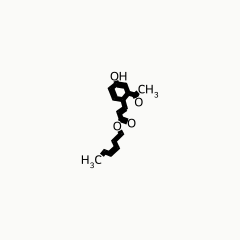 CC/C=C\CCOC(=O)C=CC1C=CC(O)=CC1C(C)=O